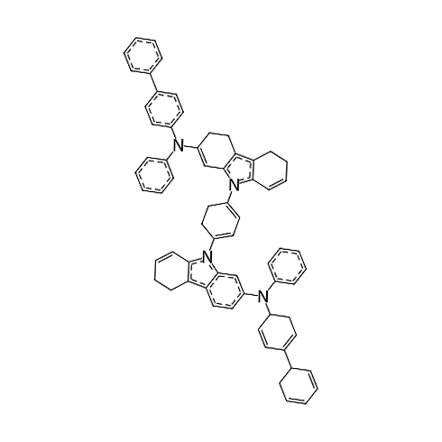 C1=CCC(C2=CCC(N(c3ccccc3)c3ccc4c5c(n(C6=CC=C(n7c8c(c9c7C=C(N(c7ccccc7)c7ccc(-c%10ccccc%10)cc7)CC9)CCC=C8)CC6)c4c3)C=CCC5)C=C2)C=C1